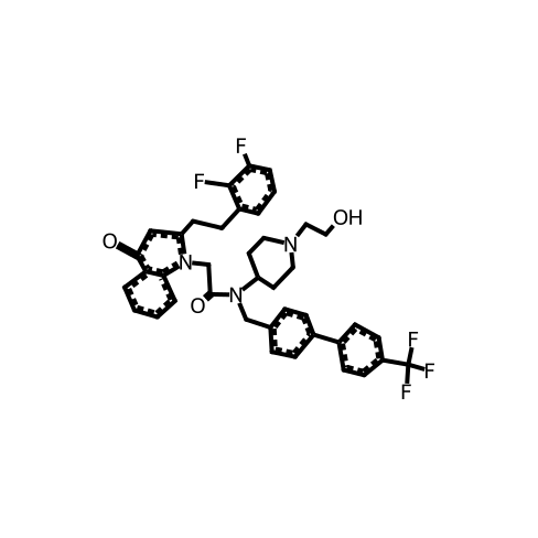 O=C(Cn1c(CCc2cccc(F)c2F)cc(=O)c2ccccc21)N(Cc1ccc(-c2ccc(C(F)(F)F)cc2)cc1)C1CCN(CCO)CC1